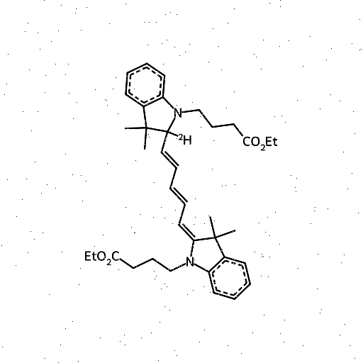 [2H]C1(C=CC=CC=C2N(CCCC(=O)OCC)c3ccccc3C2(C)C)N(CCCC(=O)OCC)c2ccccc2C1(C)C